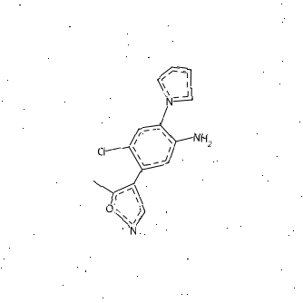 Cc1oncc1-c1cc(N)c(-n2cccc2)cc1Cl